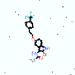 CC(=O)Nc1c(Br)[nH]c2ccc(OCCc3ccc(C(F)(F)F)cc3)cc12